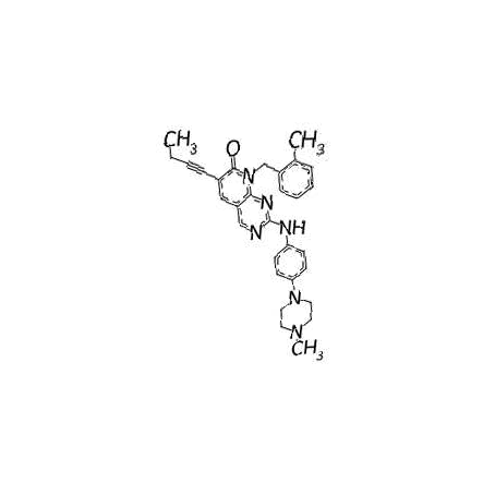 CCC#Cc1cc2cnc(Nc3ccc(N4CCN(C)CC4)cc3)nc2n(Cc2ccccc2C)c1=O